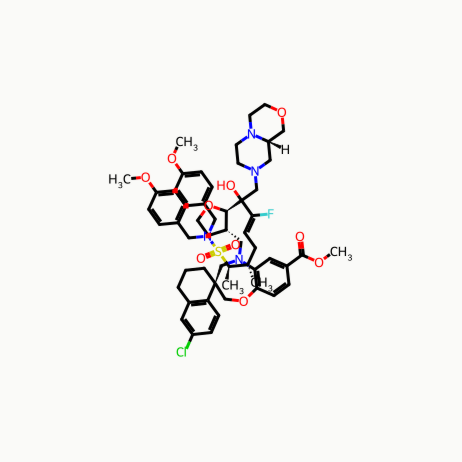 COC(=O)c1ccc2c(c1)N(C[C@@H]1CCO[C@H]1C(O)(CN1CCN3CCOC[C@@H]3C1)/C(F)=C/C[C@H](C)[C@@H](C)S(=O)(=O)N(Cc1ccc(OC)cc1)Cc1ccc(OC)cc1)C[C@@]1(CCCc3cc(Cl)ccc31)CO2